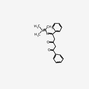 CN(N=C(CC(=O)CC(=O)c1ccccc1)c1ccccc1)[SiH](C)C